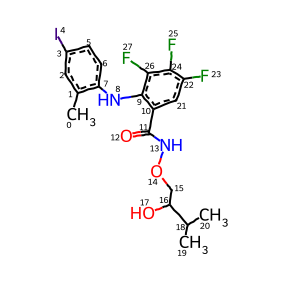 Cc1cc(I)ccc1Nc1c(C(=O)NOCC(O)C(C)C)cc(F)c(F)c1F